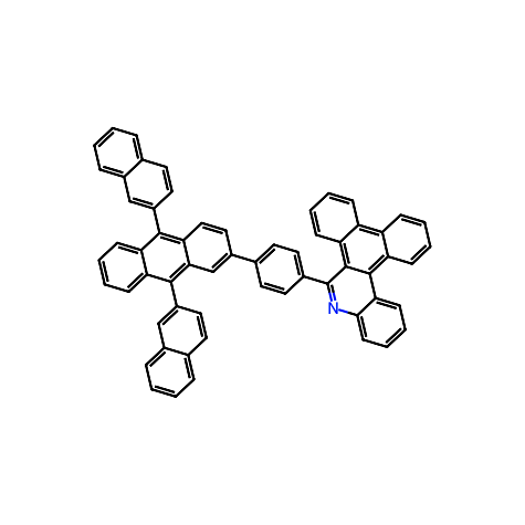 c1ccc2cc(-c3c4ccccc4c(-c4ccc5ccccc5c4)c4cc(-c5ccc(-c6nc7ccccc7c7c8ccccc8c8ccccc8c67)cc5)ccc34)ccc2c1